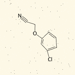 N#CCOc1[c]ccc(Cl)c1